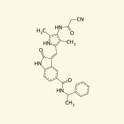 Cc1[nH]c(/C=C2\C(=O)Nc3ccc(C(=O)NC(C)c4ccccc4)cc32)c(C)c1NC(=O)CC#N